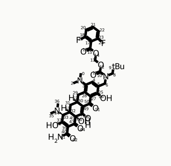 CN(C)c1cc(CN(CC(C)(C)C)C(=O)OCOC(=O)c2c(F)cccc2F)c(O)c2c1C[C@H]1C[C@H]3[C@H](N(C)C)C(O)=C(C(N)=O)C(=O)[C@@]3(O)C(O)=C1C2=O